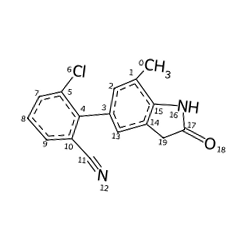 Cc1cc(-c2c(Cl)cccc2C#N)cc2c1NC(=O)C2